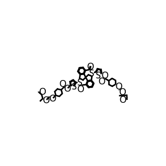 CC(OCOC1CCC(C(=O)Oc2ccc(SC(=O)c3cccc4c3C3(CC4)CCc4cccc(C(=O)Sc5ccc(OC(=O)C6CCC(OCOC7(C)CCO7)CC6)s5)c43)s2)CC1)C1CO1